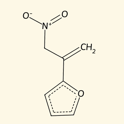 C=C(C[N+](=O)[O-])c1ccco1